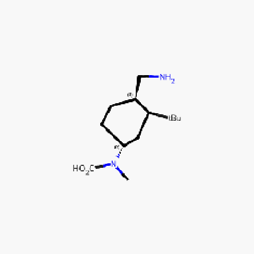 CN(C(=O)O)[C@@H]1CC[C@@H](CN)C(C(C)(C)C)C1